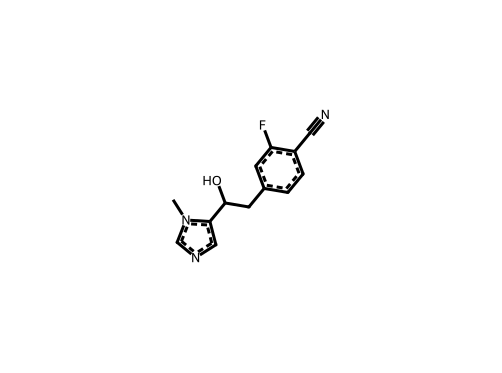 Cn1cncc1C(O)Cc1ccc(C#N)c(F)c1